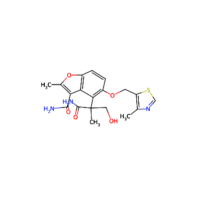 Cc1ncsc1COc1ccc2oc(C)c(C(N)=O)c2c1C(C)(CO)C(N)=O